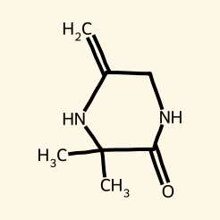 C=C1CNC(=O)C(C)(C)N1